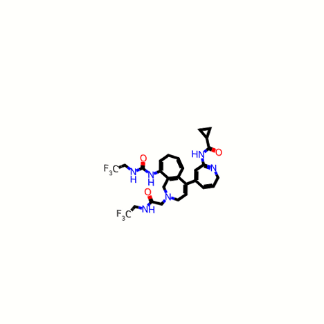 O=C(CN1CC=C(C2=CC(NC(=O)C3CC3)=NCC=C2)C2=C(C1)C(NC(=O)NCC(F)(F)F)=CCC=C2)NCC(F)(F)F